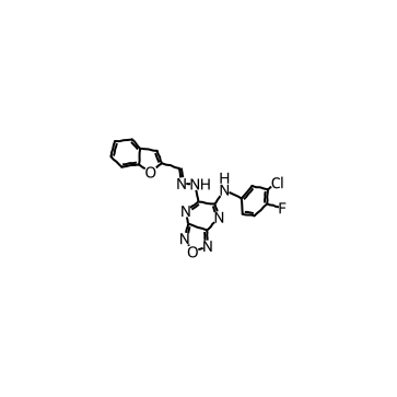 Fc1ccc(Nc2nc3nonc3nc2NN=Cc2cc3ccccc3o2)cc1Cl